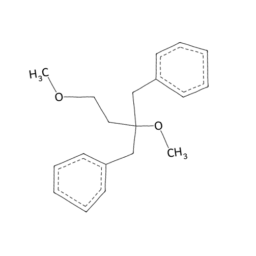 COCCC(Cc1ccccc1)(Cc1ccccc1)OC